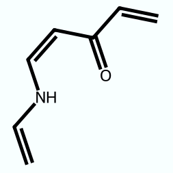 C=CN/C=C\C(=O)C=C